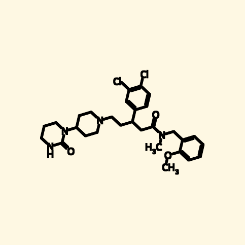 COc1ccccc1CN(C)C(=O)CC(CCN1CCC(N2CCCNC2=O)CC1)c1ccc(Cl)c(Cl)c1